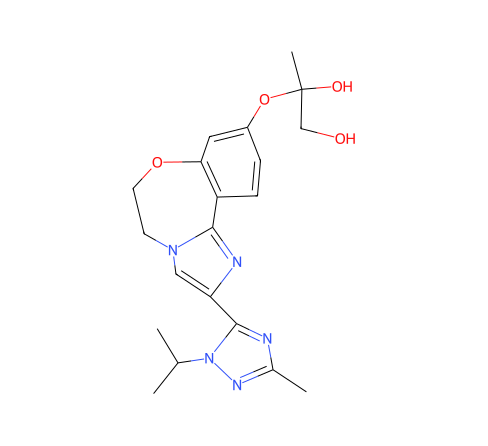 Cc1nc(-c2cn3c(n2)-c2ccc(OC(C)(O)CO)cc2OCC3)n(C(C)C)n1